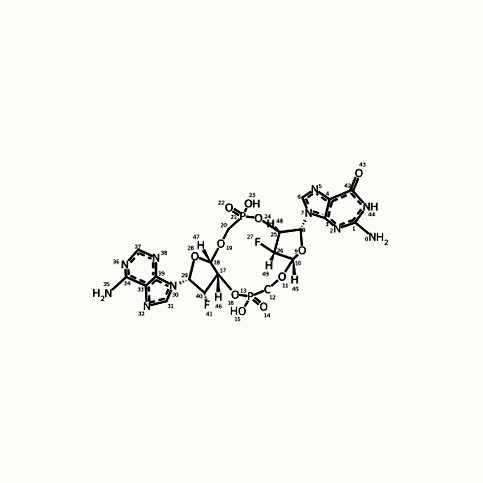 Nc1nc2c(ncn2[C@@H]2O[C@@H]3OCP(=O)(O)O[C@H]4[C@@H](OCP(=O)(O)O[C@H]2[C@H]3F)O[C@@H](n2cnc3c(N)ncnc32)[C@H]4F)c(=O)[nH]1